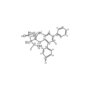 CCC(C(=O)Oc1c(C(C)C)nc(-c2ccccc2)c(C)c1-c1ccc(F)cc1)(C(C)O)[PH](=O)O